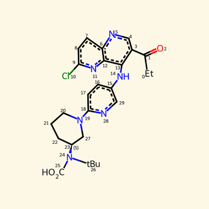 CCC(=O)c1cnc2ccc(Cl)nc2c1Nc1ccc(N2CCC[C@H](N(C(=O)O)C(C)(C)C)C2)nc1